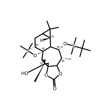 C[C@@H]1C2OC(=O)OC23C[C@](C)(O)C=C3[C@]2(O[Si](C)(C)C)C([C@@H]3C(C[C@H]2C)C3(C)C)[C@@H]1O[Si](C)(C)C(C)(C)C